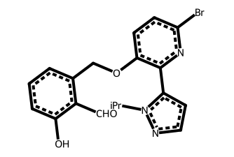 CC(C)n1nccc1-c1nc(Br)ccc1OCc1cccc(O)c1C=O